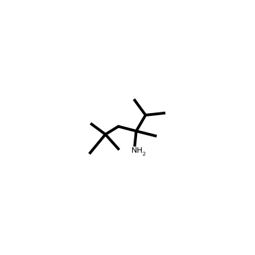 CC(C)C(C)(N)CC(C)(C)C